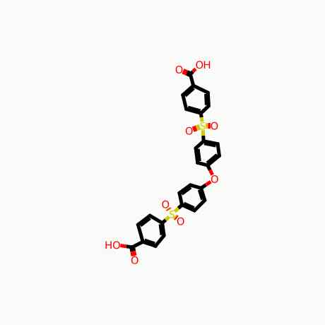 O=C(O)c1ccc(S(=O)(=O)c2ccc(Oc3ccc(S(=O)(=O)c4ccc(C(=O)O)cc4)cc3)cc2)cc1